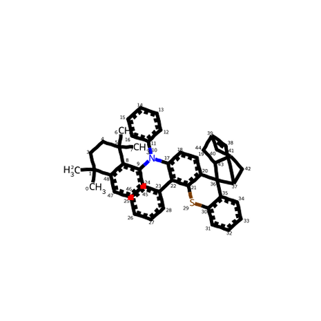 CC1(C)CCC(C)(C)c2c(N(c3ccccc3)c3ccc4c(c3-c3ccccc3)Sc3ccccc3C43C4C=C5CC(C4)C3C5)cccc21